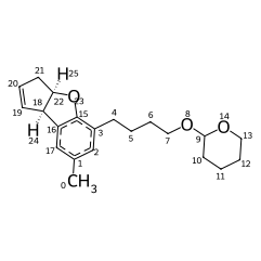 Cc1cc(CCCCOC2CCCCO2)c2c(c1)[C@H]1C=CC[C@H]1O2